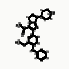 COc1cc(-c2nc3n(c2C(N)=O)CCC3C2CCNCC2)ccc1Oc1ccccc1